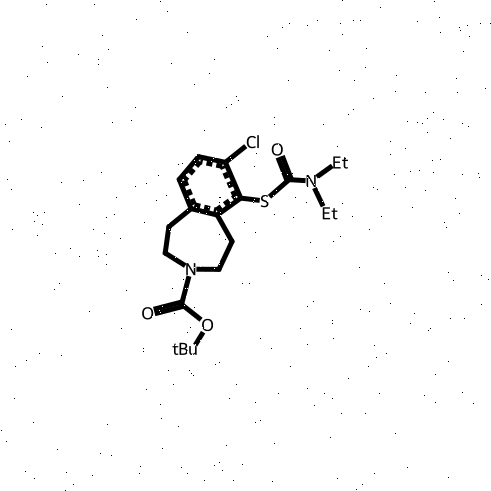 CCN(CC)C(=O)Sc1c(Cl)ccc2c1CCN(C(=O)OC(C)(C)C)CC2